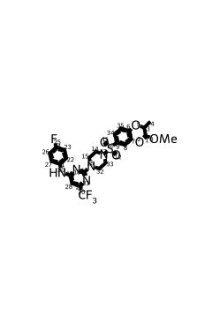 COC(=O)C(C)Oc1ccc(S(=O)(=O)N2CCN(c3nc(Nc4ccc(F)cc4)cc(C(F)(F)F)n3)CC2)cc1